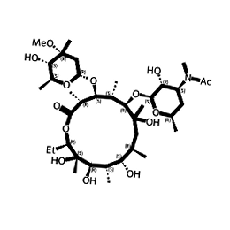 CC[C@H]1OC(=O)[C@H](C)[C@@H](O[C@H]2C[C@@](C)(OC)[C@@H](O)[C@H](C)O2)[C@H](C)[C@@H](O[C@@H]2O[C@H](C)C[C@H](N(C)C(C)=O)[C@H]2O)C(C)(O)C[C@@H](C)[C@H](O)[C@H](C)[C@@H](O)[C@]1(C)O